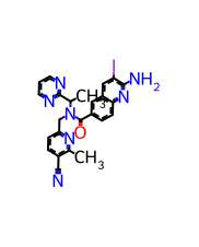 Cc1nc(CN(C(=O)c2ccc3nc(N)c(I)cc3c2)C(C)c2ncccn2)ccc1C#N